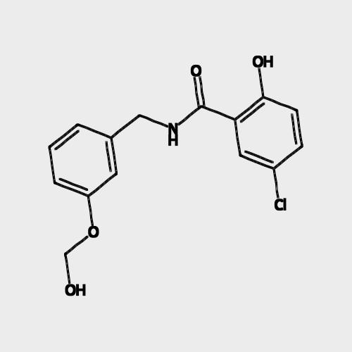 O=C(NCc1cccc(OCO)c1)c1cc(Cl)ccc1O